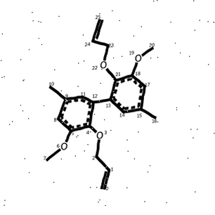 C=CCOc1c(OC)cc(C)cc1-c1cc(C)cc(OC)c1OCC=C